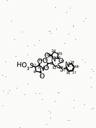 O=C(ON1C(=O)CC(S(=O)(=O)O)C1=O)C(CSSc1ccccn1)N1C(=O)CCC1=O